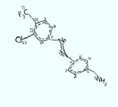 Nc1ccc(/N=N/c2ccc(C(F)(F)F)c(Cl)c2)cc1